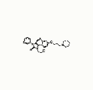 O=c1n2c3c4c(cc(OCCCN5CCCCC5)cc4ncc3n1-c1cccnc1)OCC2